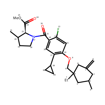 C=C1CC(C)CC(CC)(COc2cc(F)c(C(=O)N3CCC(C)[C@H]3C(=O)OC)cc2C2CC2)C1